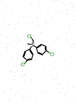 C[Si](CCl)(c1ccc(Cl)cc1)c1ccc(Cl)cc1